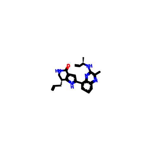 C=CC[C@@H]1CNC(=O)c2cc(-c3cccc4nc(C)c(N[C@@H](C)C=C)nc34)[nH]c21